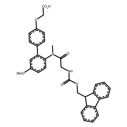 COc1ccc(N(C)C(=O)CNC(=O)OCC2c3ccccc3-c3ccccc32)c(-c2ccc(OCC(=O)O)cc2)c1